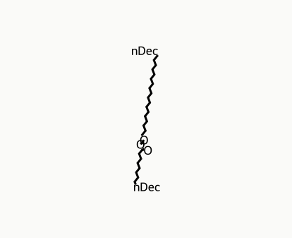 CCCCCCCCCCCCCCCCCCCCCCCCCCCCOOC(=O)CCCCCCCCCCCCCCCCC